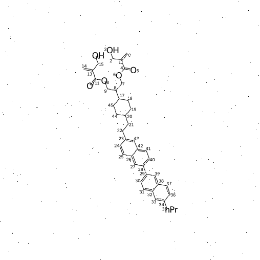 C=C(CO)C(=O)OCC(COC(=O)C(=C)CO)C1CCC(CCc2ccc3cc(-c4ccc5cc(CCC)ccc5c4)ccc3c2)CC1